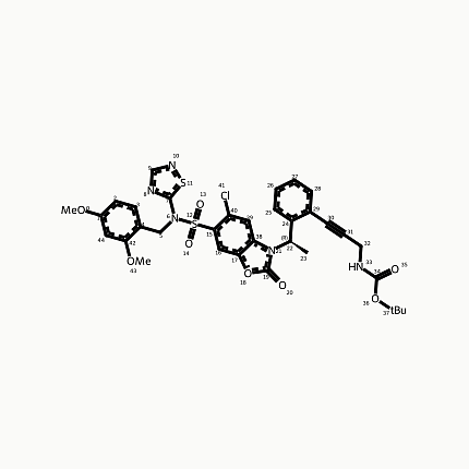 COc1ccc(CN(c2ncns2)S(=O)(=O)c2cc3oc(=O)n([C@H](C)c4ccccc4C#CCNC(=O)OC(C)(C)C)c3cc2Cl)c(OC)c1